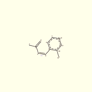 C=C(C)/C=C\c1ccncc1C